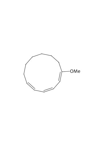 COC1=CC=CC=CCCCCCC1